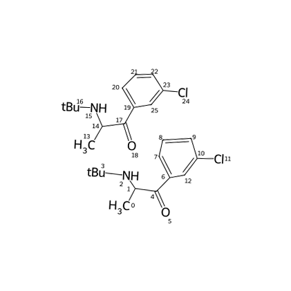 CC(NC(C)(C)C)C(=O)c1cccc(Cl)c1.CC(NC(C)(C)C)C(=O)c1cccc(Cl)c1